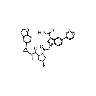 NC(=O)c1cn(CC(=O)N2CC(F)CC2C(=O)NC2CC2c2ccc3c(c2)CCO3)c2ccc(-c3ccnnc3)cc12